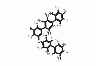 [2H]c1c([2H])c([2H])c(-c2c([2H])c([2H])c(Oc3cc(-c4c([2H])c([2H])c(-c5c([2H])c([2H])c([2H])c([2H])c5[2H])c([2H])c4[2H])c([2H])c(I)c3[2H])c([2H])c2[2H])c([2H])c1[2H]